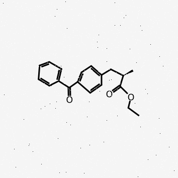 CCOC(=O)[C@H](C)Cc1ccc(C(=O)c2ccccc2)cc1